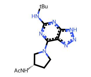 CC(=O)N[C@H]1CCN(c2nc(NC(C)(C)C)nc3[nH]nnc23)C1